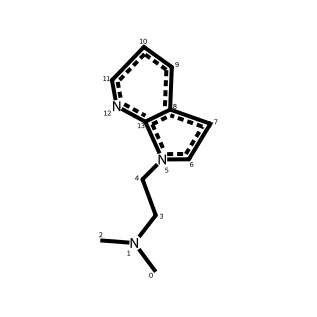 CN(C)CCn1c[c]c2cccnc21